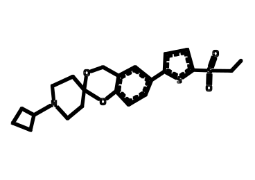 CCS(=O)(=O)c1ccc(-c2ccc3c(c2)COC2(CCN(C4CCC4)CC2)O3)s1